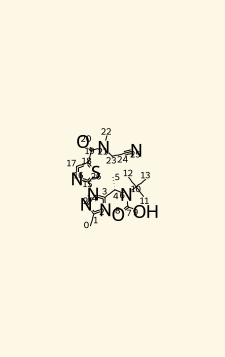 Cc1nc([C@H](C)N(C(=O)O)C(C)(C)C)n(-c2ncc(C(=O)N(C)CC#N)s2)n1